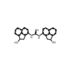 N=C(Nc1ccc2cccc3c2c1CC3O)Nc1ccc2cccc3c2c1CC3O